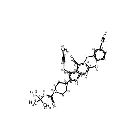 [C-]#[N+]c1cccc(Cn2c(Cl)nc3nc(N4CCN(C(=O)OC(C)(C)C)CC4)n(CC#CC)c3c2=O)c1